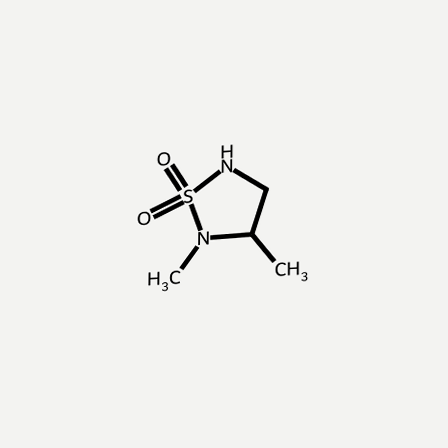 CC1CNS(=O)(=O)N1C